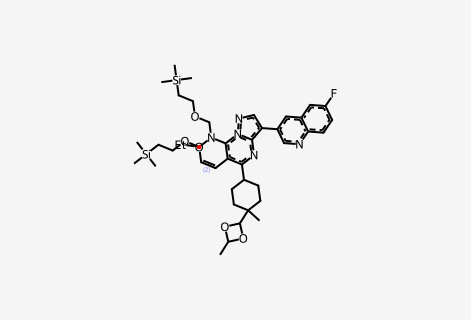 CCO/C=C\c1c(C2CCC(C)(C3OC(C)O3)CC2)nc2c(-c3cnc4ccc(F)cc4c3)cnn2c1N(COCC[Si](C)(C)C)COCC[Si](C)(C)C